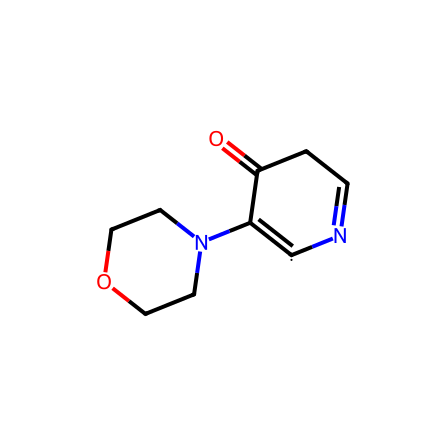 O=C1CC=N[C]=C1N1CCOCC1